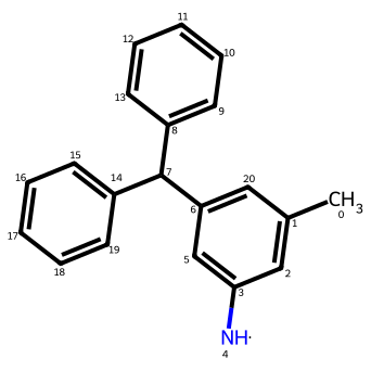 Cc1cc([NH])cc(C(c2ccccc2)c2ccccc2)c1